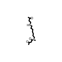 CC(=O)CCNCCCCCCCN(C)C(=O)CC(C)=O